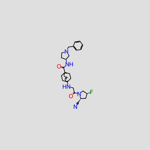 N#C[C@@H]1C[C@H](F)CN1C(=O)CNC12CCC(C(=O)N[C@H]3CCN(Cc4ccccc4)C3)(CC1)CC2